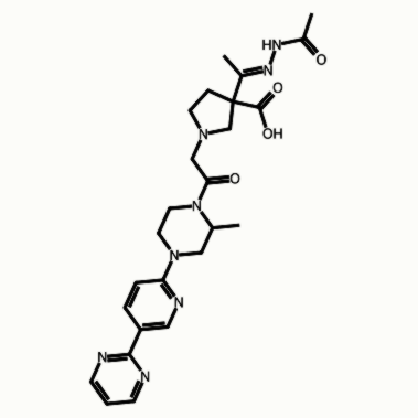 CC(=O)N/N=C(\C)C1(C(=O)O)CCN(CC(=O)N2CCN(c3ccc(-c4ncccn4)cn3)CC2C)C1